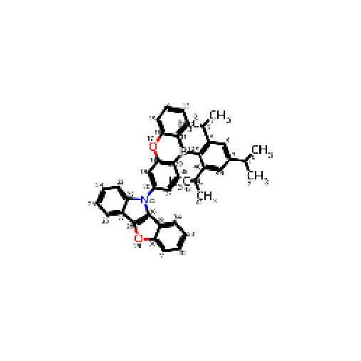 CC(C)c1cc(C(C)C)c(B2c3ccccc3Oc3cc(-n4c5ccccc5c5oc6ccccc6c54)ccc32)c(C(C)C)c1